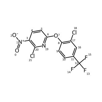 O=[N+]([O-])c1ccc(Oc2ccc(C(F)(F)F)cc2Cl)nc1Cl